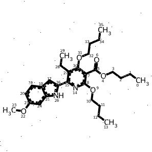 CCCCOC(=O)c1c(OCCCC)nc(-c2cc3ccc(OC)cc3[nH]2)c(CC)c1OCCCC